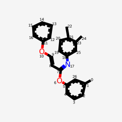 Cc1cccc(OC(C=COc2ccccc2)=Nc2ccc(C)c(C)c2)c1